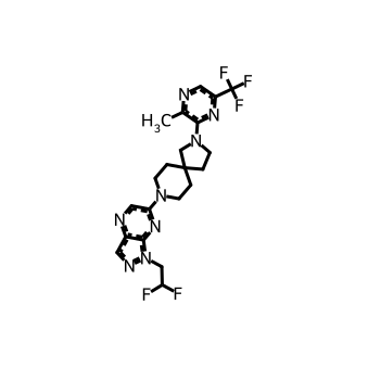 Cc1ncc(C(F)(F)F)nc1N1CCC2(CCN(c3cnc4cnn(CC(F)F)c4n3)CC2)C1